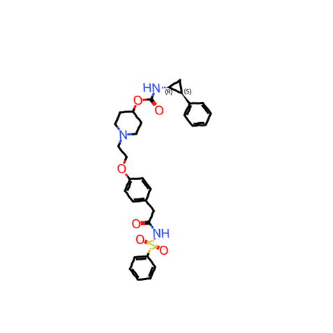 O=C(Cc1ccc(OCCN2CCC(OC(=O)N[C@@H]3C[C@H]3c3ccccc3)CC2)cc1)NS(=O)(=O)c1ccccc1